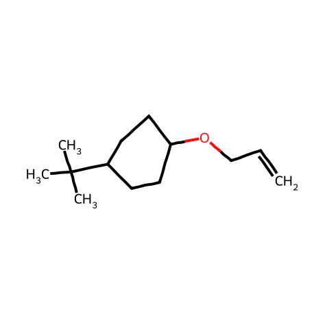 C=CCOC1CCC(C(C)(C)C)CC1